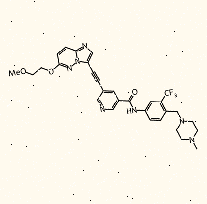 COCCOc1ccc2ncc(C#Cc3cncc(C(=O)Nc4ccc(CN5CCN(C)CC5)c(C(F)(F)F)c4)c3)n2n1